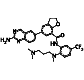 CN(C)CCCN(C)c1ccc(C(F)(F)F)cc1NC(=O)c1cc(-c2ccc3nc(N)ncc3c2)cc2c1OCC2